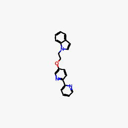 c1ccc(-c2ccc(OCCn3ccc4ccccc43)cn2)nc1